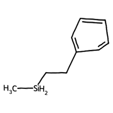 C[SiH2]CCc1ccccc1